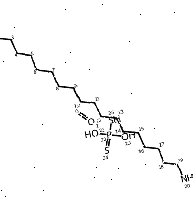 C=O.CCCCCCCCCCCCCCCCCCN.OP(O)(=S)S